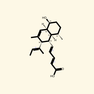 C/C=C(\C)[C@@H]1C(C)=C[C@@H]2[C@H]([C@@H]1/C=C/C=C/C(=O)O)[C@@H](C)CC[C@@H]2O